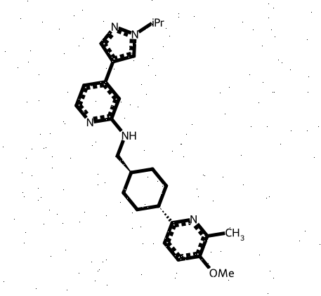 COc1ccc([C@H]2CC[C@H](CNc3cc(-c4cnn(C(C)C)c4)ccn3)CC2)nc1C